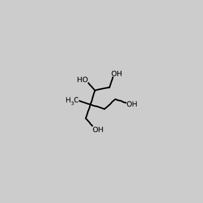 CC(CO)(CCO)C(O)CO